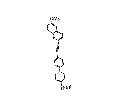 CCCCCC1CCC(c2ccc(C#Cc3ccc4cc(OC)ccc4c3)cc2)CC1